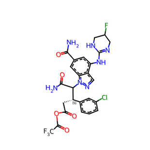 NC(=O)c1cc(NC2=NCC(F)CN2)c2cnn(C(C(N)=O)[C@@H](CC(=O)OC(=O)C(F)(F)F)c3cccc(Cl)c3)c2c1